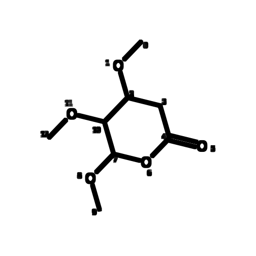 COC1CC(=O)OC(OC)C1OC